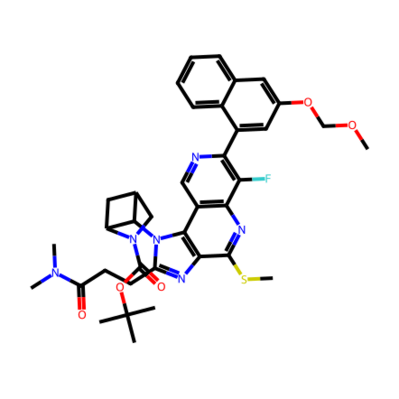 COCOc1cc(-c2ncc3c(nc(SC)c4nc(CCC(=O)N(C)C)n(C5C6CC5N(C(=O)OC(C)(C)C)C6)c43)c2F)c2ccccc2c1